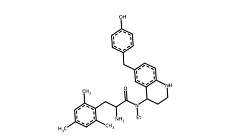 CCN(C(=O)C(N)Cc1c(C)cc(C)cc1C)C1CCNc2ccc(Cc3ccc(O)cc3)cc21